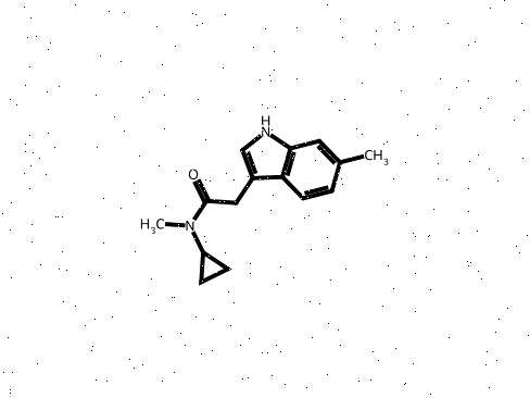 Cc1ccc2c(CC(=O)N(C)C3CC3)c[nH]c2c1